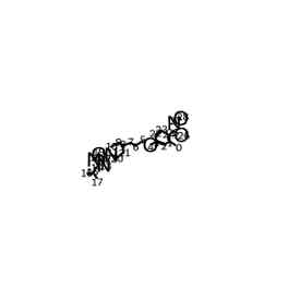 Cc1cc(OCCCC2CCN(c3nc(C(C)C)no3)CC2)ccc1C(=O)N=O